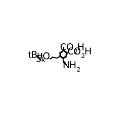 CC(C)(C)[Si](C)(C)OCCCc1cc(C(=O)O)c(C(=O)O)cc1CN